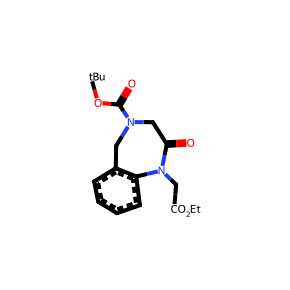 CCOC(=O)CN1C(=O)CN(C(=O)OC(C)(C)C)Cc2ccccc21